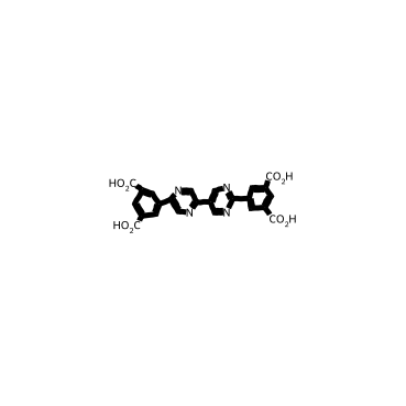 O=C(O)c1cc(C(=O)O)cc(-c2cnc(-c3cnc(-c4cc(C(=O)O)cc(C(=O)O)c4)nc3)cn2)c1